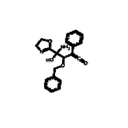 NC(O)(C1=NCCO1)C(OCc1ccccc1)C(=C=O)c1ccccc1